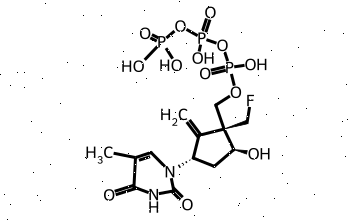 C=C1[C@@H](n2cc(C)c(=O)[nH]c2=O)C[C@H](O)[C@@]1(CF)COP(=O)(O)OP(=O)(O)OP(=O)(O)O